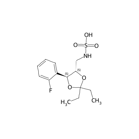 CCC1(CC)O[C@@H](CNS(=O)(=O)O)[C@H](c2ccccc2F)O1